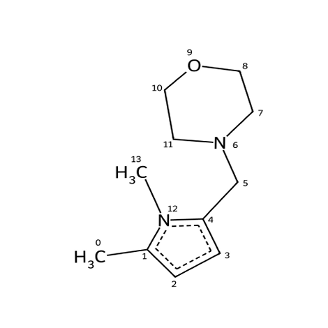 Cc1ccc(CN2CCOCC2)n1C